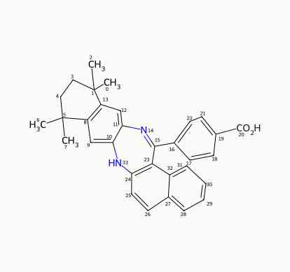 CC1(C)CCC(C)(C)c2cc3c(cc21)N=C(c1ccc(C(=O)O)cc1)c1c(ccc2ccccc12)N3